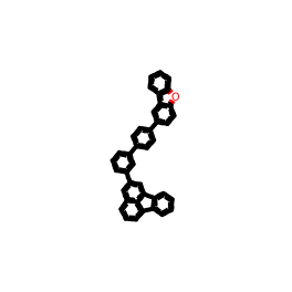 c1cc(-c2ccc(-c3ccc4oc5ccccc5c4c3)cc2)cc(-c2cc3c4c(cccc4c2)-c2ccccc2-3)c1